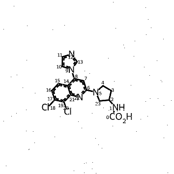 O=C(O)NC1CCN(c2cc(-n3ccnc3)c3ccc(Cl)c(Cl)c3n2)C1